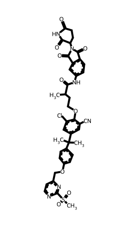 CC(CCOc1c(Cl)cc(C(C)(C)c2ccc(OCc3ccnc(S(C)(=O)=O)n3)cc2)cc1C#N)C(=O)Nc1ccc2c(c1)C(=O)N(C1CCC(=O)NC1=O)C2=O